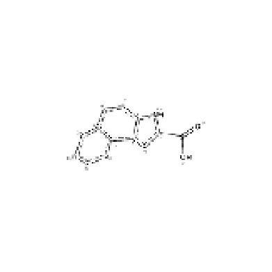 O=C(O)c1cc2c(ncc3cnccc32)[nH]1